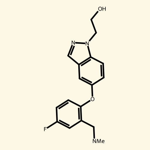 CNCc1cc(F)ccc1Oc1ccc2c(cnn2CCO)c1